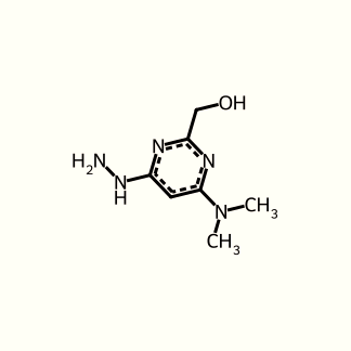 CN(C)c1cc(NN)nc(CO)n1